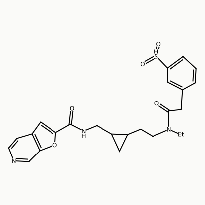 CCN(CCC1CC1CNC(=O)c1cc2ccncc2o1)C(=O)Cc1cccc([SH](=O)=O)c1